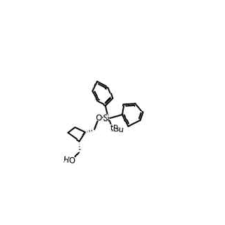 CC(C)(C)[Si](OC[C@H]1CC[C@H]1CO)(c1ccccc1)c1ccccc1